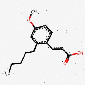 CCCCCc1cc(OC)ccc1C=CC(=O)O